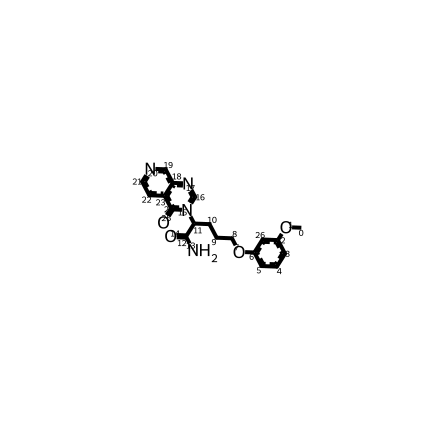 COc1cccc(OCCCC(C(N)=O)n2cnc3cnccc3c2=O)c1